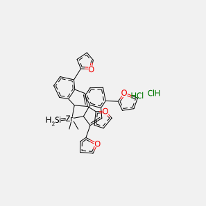 Cl.Cl.[CH3][Zr]([CH3])(=[SiH2])([CH]1C(c2ccco2)=Cc2c(-c3ccco3)cccc21)[CH]1C(c2ccco2)=Cc2c(-c3ccco3)cccc21